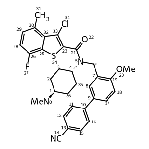 CN[C@H]1CC[C@H](N(Cc2cc(-c3ccc(C#N)cc3)ccc2OC)C(=O)c2sc3c(F)ccc(C)c3c2Cl)CC1